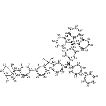 CC1(C)c2cc(-c3ccc(C45CC6CC(CC(C6)C4)C5)cc3)ccc2-c2ccc(N(c3ccc(-c4ccccc4)cc3)c3ccc([Si](c4ccccc4)(c4ccccc4)c4ccccc4)cc3)cc21